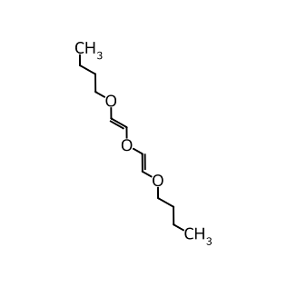 CCCCOC=COC=COCCCC